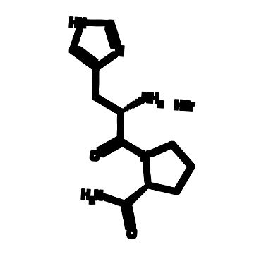 Br.NC(=O)[C@@H]1CCCN1C(=O)[C@@H](N)Cc1c[nH]cn1